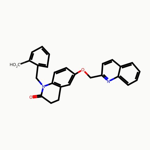 O=C(O)c1ccccc1CN1C(=O)CCc2cc(OCc3ccc4ccccc4n3)ccc21